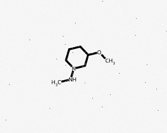 CNN1CCCC(OC)C1